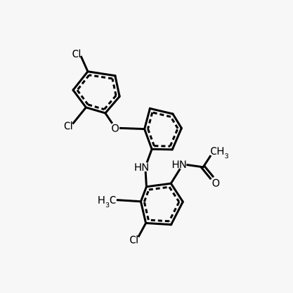 CC(=O)Nc1ccc(Cl)c(C)c1Nc1ccccc1Oc1ccc(Cl)cc1Cl